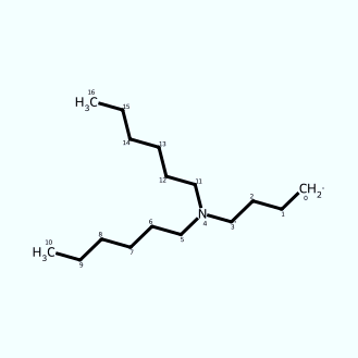 [CH2]CC[CH]N(CCCCCC)CCCCCC